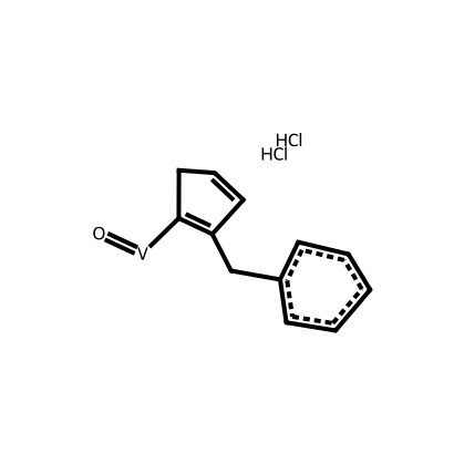 Cl.Cl.[O]=[V][C]1=C(Cc2ccccc2)C=CC1